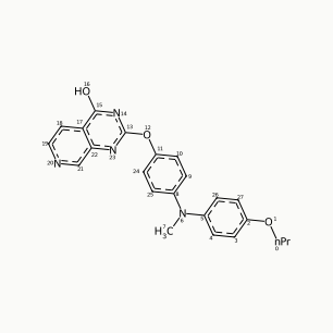 CCCOc1ccc(N(C)c2ccc(Oc3nc(O)c4ccncc4n3)cc2)cc1